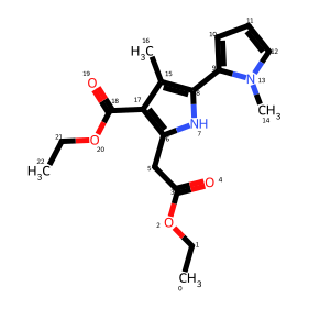 CCOC(=O)Cc1[nH]c(-c2cccn2C)c(C)c1C(=O)OCC